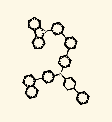 C1=CC(c2ccccc2)CC=C1N(c1ccc(-c2cccc(-c3cccc(-n4c5ccccc5c5ccccc54)c3)c2)cc1)c1ccc(-c2cccc3ccccc23)cc1